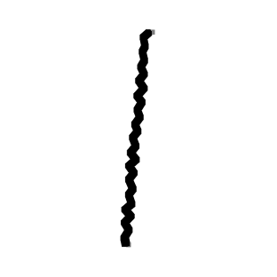 [CH]=CCCCCCCCCCCCCCCCCCCCCCCCCCCCC[CH2]